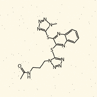 CC(=O)NCCCn1nnnc1Sc1nc2ccccc2nc1Sc1nnnn1C